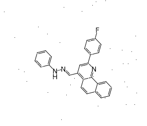 Fc1ccc(-c2cc(C=NNc3ccccc3)c3ccc4ccccc4c3n2)cc1